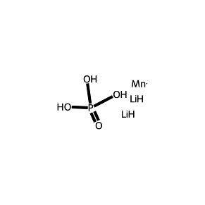 O=P(O)(O)O.[LiH].[LiH].[Mn]